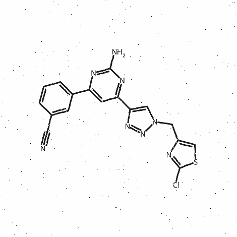 N#Cc1cccc(-c2cc(-c3cn(Cc4csc(Cl)n4)nn3)nc(N)n2)c1